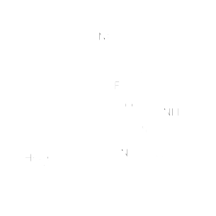 N#Cc1cccc(NS(=O)(=O)N2CCC(C(=O)O)C2)c1F